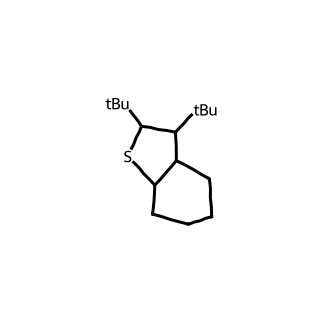 CC(C)(C)C1SC2CCCCC2C1C(C)(C)C